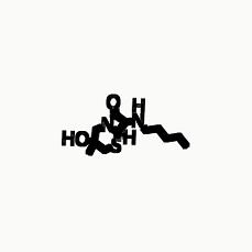 CCCCCNC1C(=O)N2CC(C)(O)CS[C@H]12